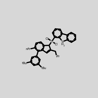 CCCc1ccc2c(c1-c1cc(C(C)(C)C)cc(C(C)(C)C)c1)C=C(CC(C)C)[CH]2[Zr]([Cl])([Cl])[c]1cccc2c1[SiH2]c1ccccc1-2